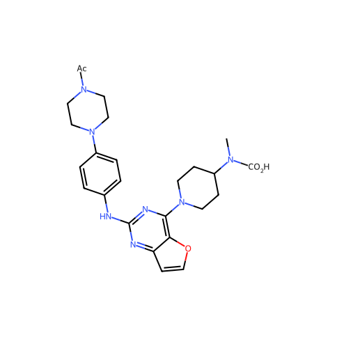 CC(=O)N1CCN(c2ccc(Nc3nc(N4CCC(N(C)C(=O)O)CC4)c4occc4n3)cc2)CC1